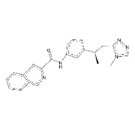 C[C@H](Cc1nncn1C)c1cccc(NC(=O)c2cc3ccccc3cn2)c1